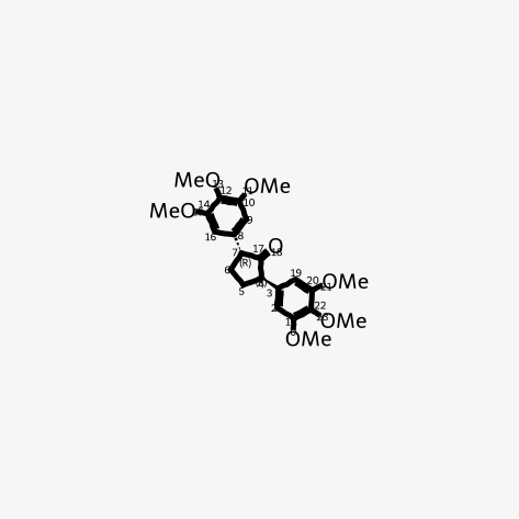 COc1cc([C@H]2CC[C@H](c3cc(OC)c(OC)c(OC)c3)C2=O)cc(OC)c1OC